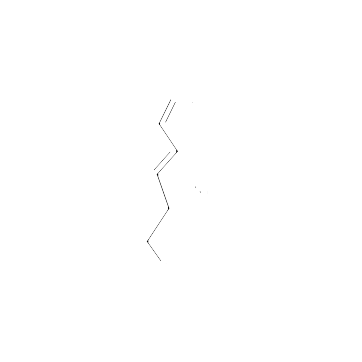 C=C/C=C/CCC(=O)[O-].[Na+]